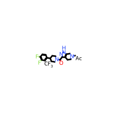 CC(=O)CN1CCc2c(C(=O)N3CCC(c4ccc(F)c(F)c4C(F)(F)F)CC3)n[nH]c2C1